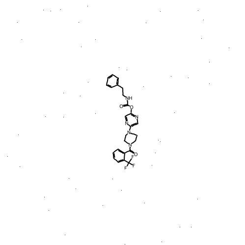 O=C(NCCc1ccccc1)Oc1cnc(N2CCN(C(=O)c3ccccc3C(F)(F)F)CC2)cn1